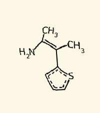 CC(N)=C(C)c1cccs1